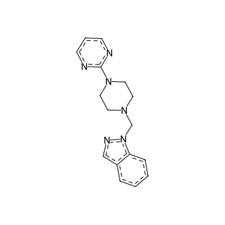 c1cnc(N2CCN(Cn3ncc4ccccc43)CC2)nc1